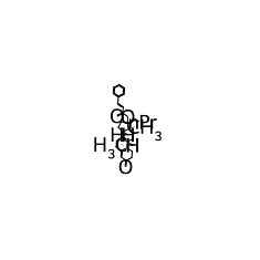 CCC[C@]1(OC(=O)/C=C/c2ccccc2)CC[C@H]2[C@@H]3CCC4=CC(=O)CC[C@]4(C)[C@H]3CC[C@@]21C